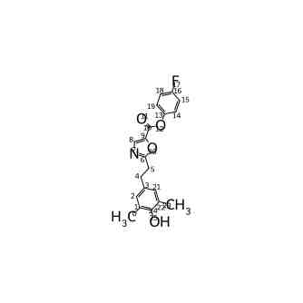 Cc1cc(CCc2ncc(C(=O)Oc3ccc(F)cc3)o2)cc(C)c1O